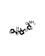 Cc1c(COc2cncc(C(N)=O)c2)cccc1NC(=O)c1cccnc1